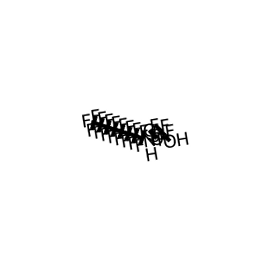 O=S(=O)(NC(F)(F)C(F)(F)C(F)(F)C(F)(F)C(F)(F)C(F)(F)C(F)(F)C(F)(F)F)C(F)(F)C(O)(F)F